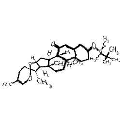 CC1CC[C@@]2(OC1)O[C@H]1C[C@H]3[C@@H]4C(=O)C=C5CC(O[Si](C)(C)C(C)(C)C)CC[C@]5(C)[C@H]4CC[C@]3(C)[C@H]1[C@@H]2C